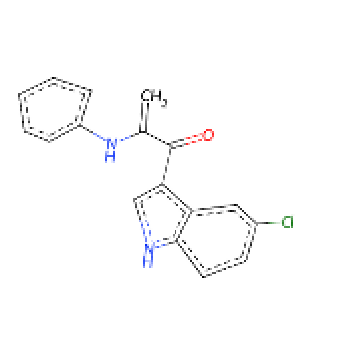 C=C(Nc1ccccc1)C(=O)c1c[nH]c2ccc(Cl)cc12